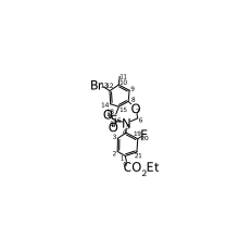 CCOC(=O)c1ccc(N2COc3cc(C)c(Br)cc3S2(=O)=O)c(F)c1